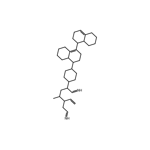 C=CC(CC=N)C(C)CC(C=N)C1CCC(C2CCC(C3CCC=C4CCCCC43)=C3CCCCC32)CC1